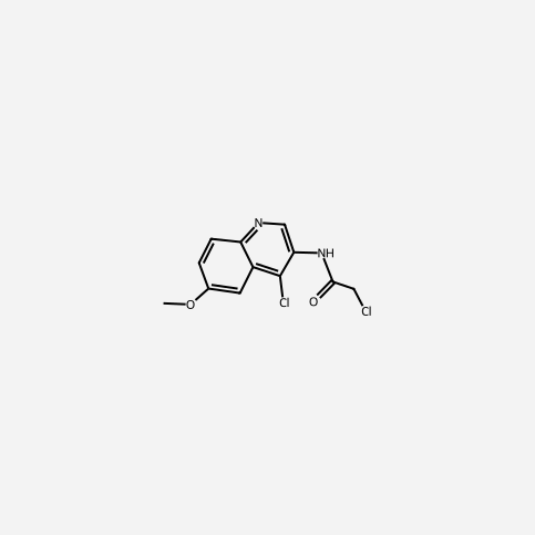 COc1ccc2ncc(NC(=O)CCl)c(Cl)c2c1